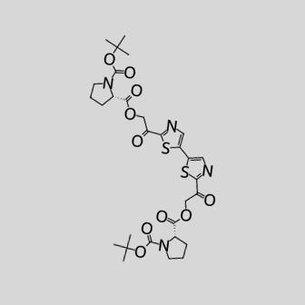 CC(C)(C)OC(=O)N1CCC[C@H]1C(=O)OCC(=O)c1ncc(-c2cnc(C(=O)COC(=O)[C@@H]3CCCN3C(=O)OC(C)(C)C)s2)s1